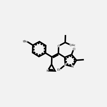 CCn1nc(C)c(Cl)c1/C(OC(C)OC(C)=O)=C(/c1ccc(C(C)(C)C)cc1)C1C=N1